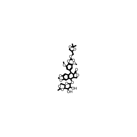 COc1cc(C2c3cc4c(cc3C(OC3OC5COC(C)OC5C(O)C3O)C3COC(=O)C23)OCO4)cc(OC)c1OC(=O)OCC1COC(C)(C)O1